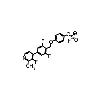 Cc1nccc(-c2cc(F)c(COc3ccc(OS(=O)(=O)F)cc3)c(F)c2)c1F